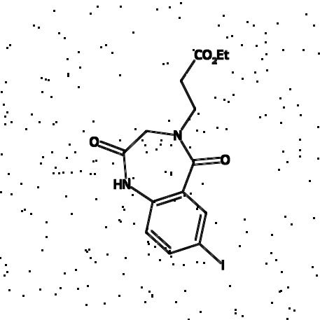 CCOC(=O)CCN1CC(=O)Nc2ccc(I)cc2C1=O